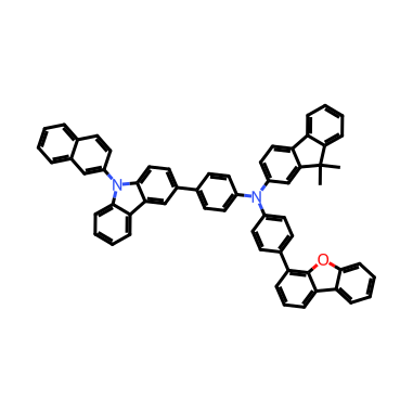 CC1(C)c2ccccc2-c2ccc(N(c3ccc(-c4ccc5c(c4)c4ccccc4n5-c4ccc5ccccc5c4)cc3)c3ccc(-c4cccc5c4oc4ccccc45)cc3)cc21